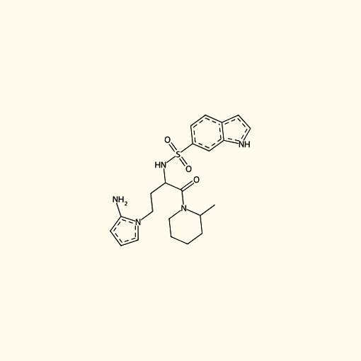 CC1CCCCN1C(=O)C(CCn1cccc1N)NS(=O)(=O)c1ccc2cc[nH]c2c1